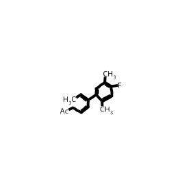 C/C=C(\C=C/CC(C)=O)c1cc(C)c(F)cc1C